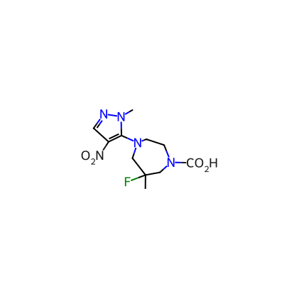 Cn1ncc([N+](=O)[O-])c1N1CCN(C(=O)O)CC(C)(F)C1